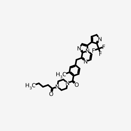 CCCCC(=O)N1CCN(C(=O)c2ccc(Cc3nccn4c(C5=CCN=C5C(F)(F)F)cnc34)cc2C)CC1